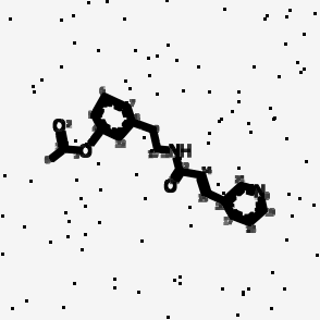 CC(=O)Oc1cccc(CCNC(=O)C=Cc2cccnc2)c1